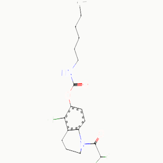 CCCCCCNC(=O)Oc1ccc2c(c1Cl)CCCN2C(=O)C(Cl)Cl